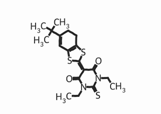 CCN1C(=O)C(=C2SC3=C(CCC(C(C)(C)C)=C3)S2)C(=O)N(CC)C1=S